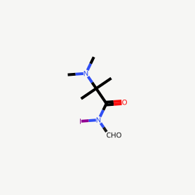 CN(C)C(C)(C)C(=O)N(I)C=O